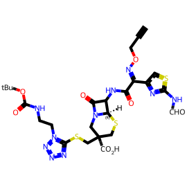 C#CCON=C(C(=O)NC1C(=O)N2CC(CSc3nnnn3CCNC(=O)OC(C)(C)C)(C(=O)O)CS[C@H]12)c1csc(NC=O)n1